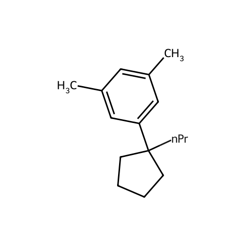 CCCC1(c2cc(C)cc(C)c2)CCCC1